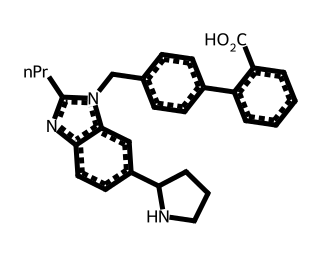 CCCc1nc2ccc(C3CCCN3)cc2n1Cc1ccc(-c2ccccc2C(=O)O)cc1